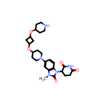 Cn1c(=O)n(C2CCC(=O)NC2=O)c2ccc(N3CCC(OC4CC(OC5CCNCC5)C4)CC3)cc21